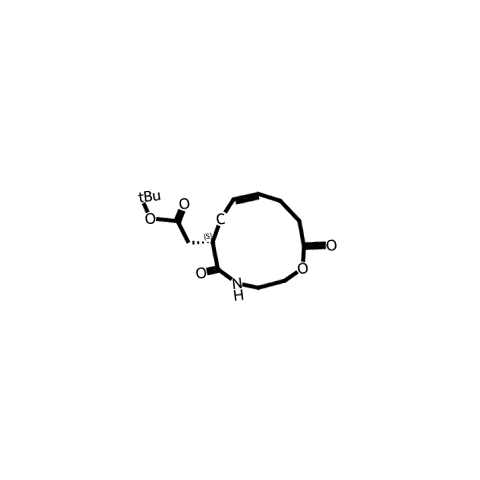 CC(C)(C)OC(=O)C[C@@H]1CC=CCCC(=O)OCCNC1=O